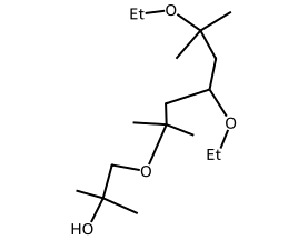 CCOC(CC(C)(C)OCC)CC(C)(C)OCC(C)(C)O